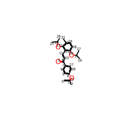 C=C(C)Oc1ccc(C(=O)/C=C/c2c(OC(C)C)ccc(C)c2OC(C)C)cc1